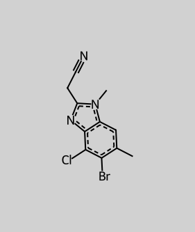 Cc1cc2c(nc(CC#N)n2C)c(Cl)c1Br